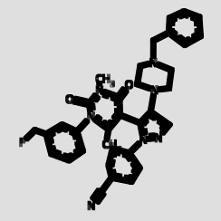 Cc1c(-c2c(N3CCN(Cc4ccccc4)CC3)cnn2-c2ccc(C#N)cc2)c(=O)n(C)c(=O)n1-c1cccc(CF)c1